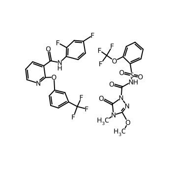 COc1nn(C(=O)NS(=O)(=O)c2ccccc2OC(F)(F)F)c(=O)n1C.O=C(Nc1ccc(F)cc1F)c1cccnc1Oc1cccc(C(F)(F)F)c1